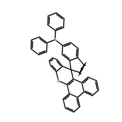 c1ccc(N(c2ccccc2)c2ccc3c(c2)C2(c4ccccc4Oc4c2c2ccccc2c2ccccc42)c2ccccc2-3)cc1